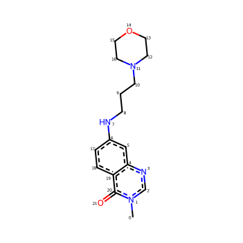 Cn1cnc2cc(NCCCN3CCOCC3)ccc2c1=O